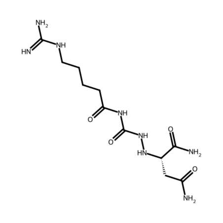 N=C(N)NCCCCC(=O)NC(=O)NN[C@@H](CC(N)=O)C(N)=O